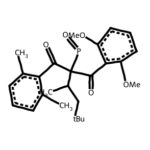 COc1cccc(OC)c1C(=O)C(P=O)(C(=O)c1c(C)cccc1C)C(C)CC(C)(C)C